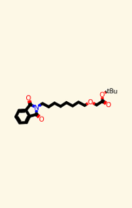 CC(C)(C)OC(=O)COCCCCCCCCN1C(=O)c2ccccc2C1=O